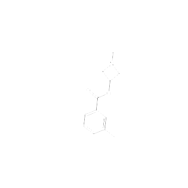 Cc1cccc(C(=O)OC2CN(C)C2)c1